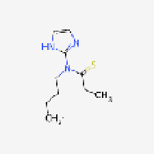 [CH2]CCCN(C(=S)CC)c1ncc[nH]1